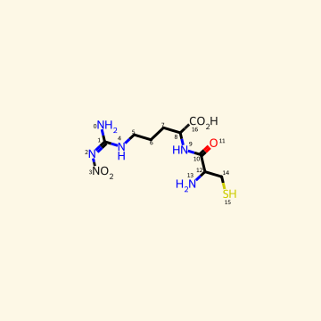 NC(=N[N+](=O)[O-])NCCCC(NC(=O)C(N)CS)C(=O)O